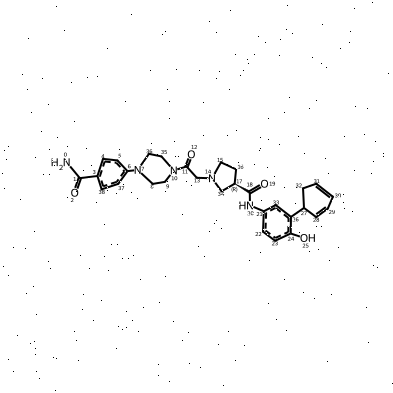 NC(=O)c1ccc(N2CCN(C(=O)CN3CC[C@@H](C(=O)Nc4ccc(O)c(C5C=CC=CC5)c4)C3)CC2)cc1